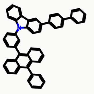 c1ccc(-c2ccc(-c3ccc4c(c3)c3ccccc3n4-c3cccc(-c4c5ccccc5c(-c5ccccc5)c5ccccc45)c3)cc2)cc1